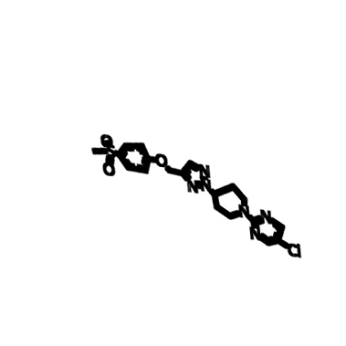 CS(=O)(=O)c1ccc(OCc2cnn(C3CCN(c4ncc(Cl)cn4)CC3)n2)cc1